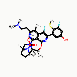 Cc1c(CCN(C)C)nc2c3c(nc(-c4cc(O)cc(F)c4SC(F)(F)F)c(F)c13)O[C@@H](C)[C@@H]1[C@@H]3CC[C@H](CN21)N3C(=O)OC(C)(C)C